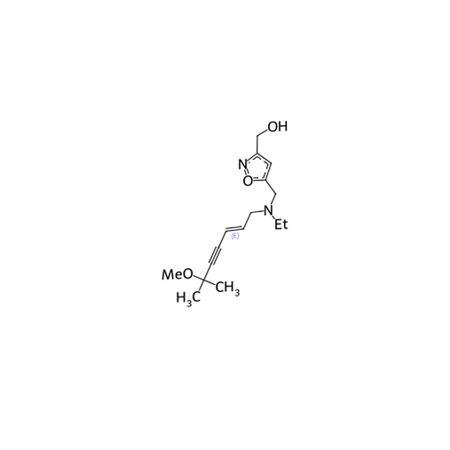 CCN(C/C=C/C#CC(C)(C)OC)Cc1cc(CO)no1